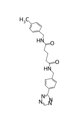 Cc1ccc(CNC(=O)CCCC(=O)NCc2ccc(-c3nncnn3)cc2)cc1